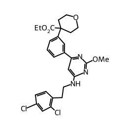 CCOC(=O)C1(c2cccc(-c3cc(NCCc4ccc(Cl)cc4Cl)nc(OC)n3)c2)CCOCC1